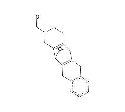 O=CC1CCC2=C(C1)C1OC2C2=C1Cc1ccccc1C2